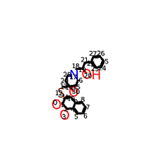 O=C1C(=O)c2ccccc2C2=C1SCC1(CCN(CC(O)Cc3ccccc3)CC1)O2